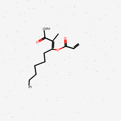 C=CC(=O)OC(CCCCCC(C)C)=C(C)C(=O)OC